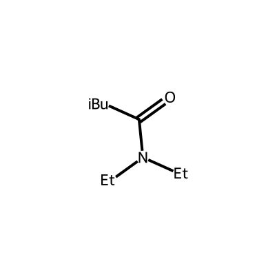 CCC(C)C(=O)N(CC)CC